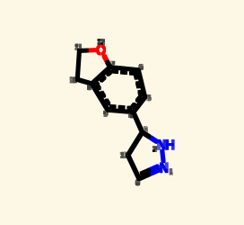 C1=NNC(c2ccc3c(c2)CCO3)C1